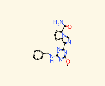 COc1nc(NCc2ccccc2)nc(-c2ncn3c(C(N)=O)cccc23)n1